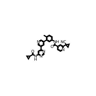 Cc1ccc(NC(=O)c2ccnc(C3(C#N)CC3)c2)cc1-c1cncc(-c2cc(NC(=O)C3CC3)ncn2)c1